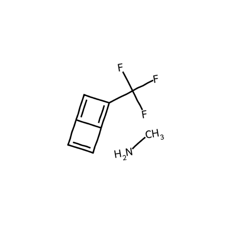 CN.FC(F)(F)c1cc2ccc1-2